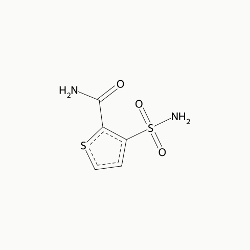 NC(=O)c1sccc1S(N)(=O)=O